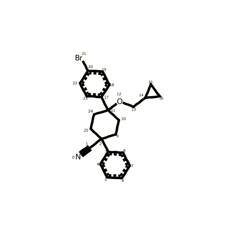 N#CC1(c2ccccc2)CCC(OCC2CC2)(c2ccc(Br)cc2)CC1